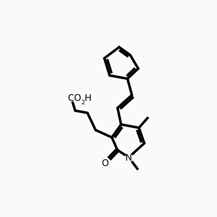 Cc1cn(C)c(=O)c(CCCC(=O)O)c1C=Cc1ccccc1